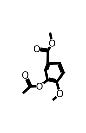 COC(=O)c1ccc(OC)c(OC(C)=O)c1